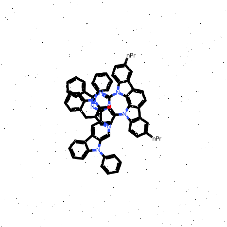 CCCc1ccc2c(c1)c1ccc3c4cc(CCC)ccc4n(-c4nc(-c5ccccc5)nc(-c5cc6c7ccccc7n(-c7ccccc7)c6cn5)n4)c3c1n2-c1ccc2c(c1)N(c1ccccc1)c1ccccc1C2